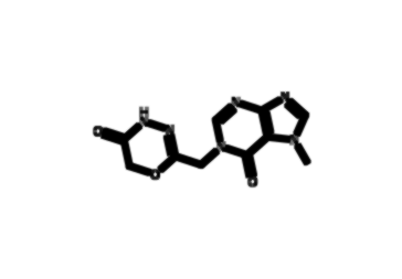 Cn1cnc2ncn(CC3=NNC(=O)CO3)c(=O)c21